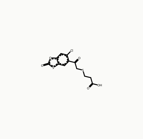 O=C(O)CCSCC(=O)c1cc2sc(=O)oc2cc1Cl